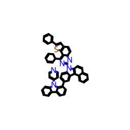 C1=CCC(c2nc(-n3c4ccc(-c5cccc6c7ccccc7n(-c7ccncc7)c56)cc4c4c5ccccc5ccc43)nc3ccc4cc(-c5ccccc5)sc4c23)C=C1